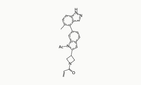 C=CC(=O)N1CC(c2cc3ccc(-c4c(C)ccc5[nH]ncc45)cc3n2C(C)=O)C1